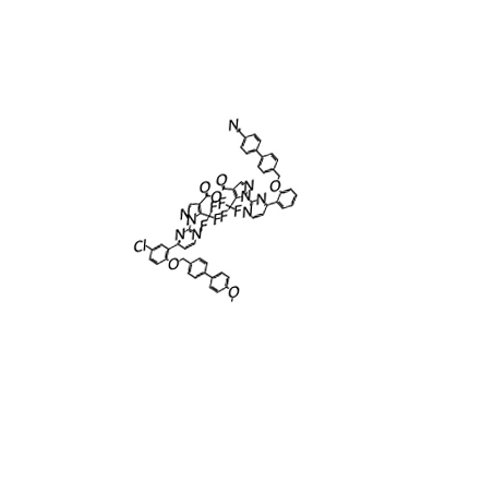 COc1ccc(-c2ccc(COc3ccc(Cl)cc3-c3ccnc(-n4ncc(C(=O)OC(=O)c5cnn(-c6nccc(-c7ccccc7OCc7ccc(-c8ccc(C#N)cc8)cc7)n6)c5C(F)(F)F)c4C(F)(F)F)n3)cc2)cc1